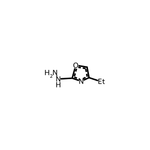 CCc1coc(NN)n1